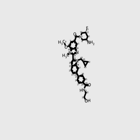 COc1cc(C(=O)N2C[C@H](N)C[C@@H](F)C2)cc2nc(-c3cc4ccc(-c5ccc(C(=O)NCCO)cc5)cc4n3CC3CC3)n(C)c12